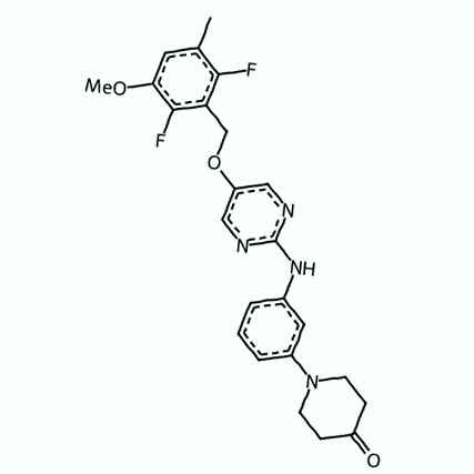 COc1cc(C)c(F)c(COc2cnc(Nc3cccc(N4CCC(=O)CC4)c3)nc2)c1F